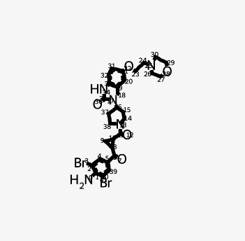 Nc1c(Br)cc(C(=O)C2CC2C(=O)N2CCC(N3Cc4cc(OCCN5CCOCC5)ccc4NC3=O)CC2)cc1Br